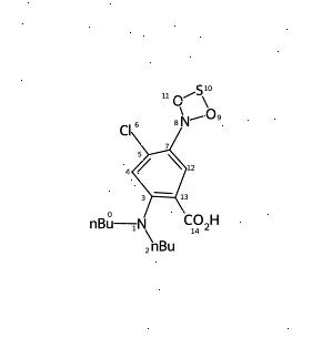 CCCCN(CCCC)c1cc(Cl)c(N2OSO2)cc1C(=O)O